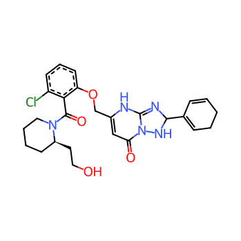 O=C1C=C(COc2cccc(Cl)c2C(=O)N2CCCC[C@@H]2CCO)NC2=NC(C3=CCCC=C3)NN12